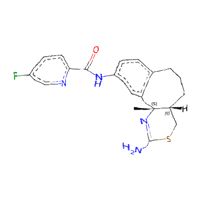 C[C@]12N=C(N)SC[C@H]1CCCc1ccc(NC(=O)c3ccc(F)cn3)cc12